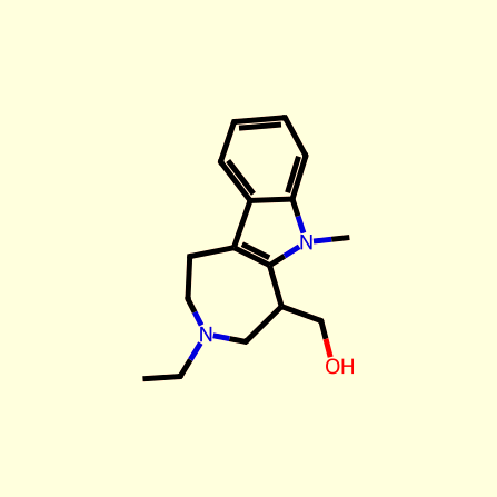 CCN1CCc2c(n(C)c3ccccc23)C(CO)C1